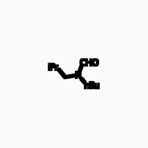 CCCCN(C=O)CC(C)C